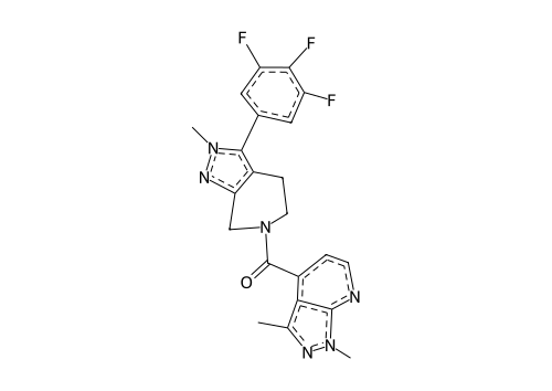 Cc1nn(C)c2nccc(C(=O)N3CCc4c(nn(C)c4-c4cc(F)c(F)c(F)c4)C3)c12